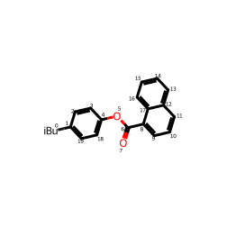 CCC(C)c1ccc(OC(=O)c2cccc3ccccc23)cc1